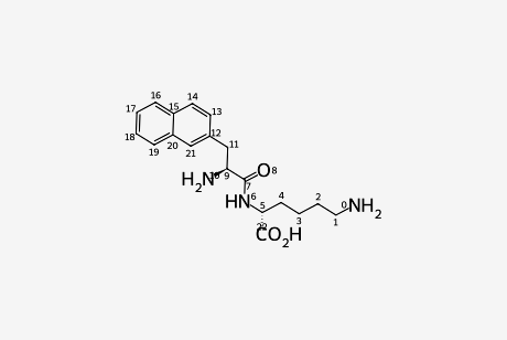 NCCCC[C@@H](NC(=O)[C@@H](N)Cc1ccc2ccccc2c1)C(=O)O